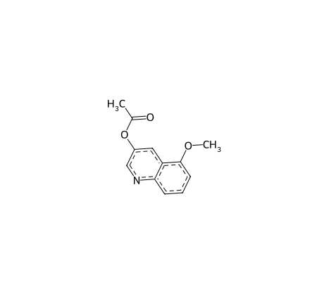 COc1cccc2ncc(OC(C)=O)cc12